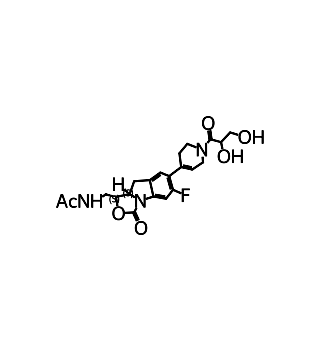 CC(=O)NC[C@@H]1OC(=O)N2c3cc(F)c(C4=CCN(C(=O)C(O)CO)CC4)cc3C[C@@H]12